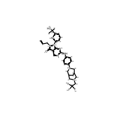 C=CCn1c(=O)c2cnc(Nc3ccc(N4CC5CC(CN(CC(F)(F)F)C5)C4)cc3)nc2n1-c1cccc(C(C)(C)O)n1